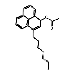 CCCCCCCC1=CC(OC(C)=O)c2cccc3cccc1c23